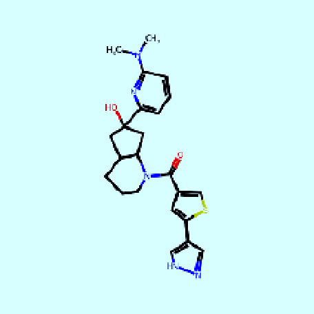 CN(C)c1cccc(C2(O)CC3CCCN(C(=O)c4csc(-c5cn[nH]c5)c4)C3C2)n1